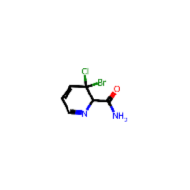 NC(=O)C1N=CC=CC1(Cl)Br